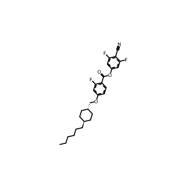 CCCCCC[C@H]1CC[C@H](COc2ccc(C(=O)Oc3cc(F)c(C#N)c(F)c3)c(F)c2)CC1